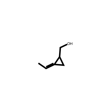 C/C=C1/CC1CO